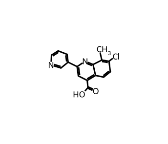 Cc1c(Cl)ccc2c(C(=O)O)cc(-c3cccnc3)nc12